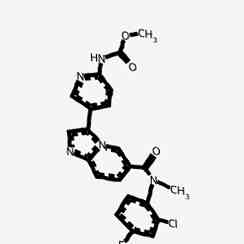 COC(=O)Nc1ccc(-c2cnc3ccc(C(=O)N(C)c4ccc(F)cc4Cl)cn23)cn1